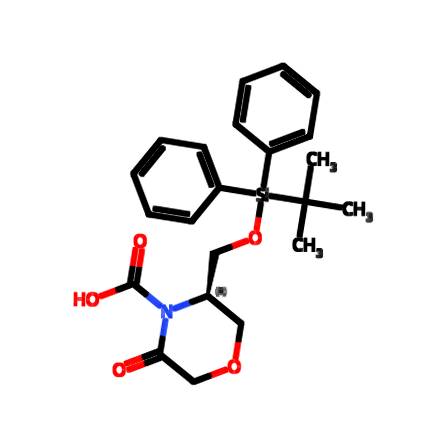 CC(C)(C)[Si](OC[C@H]1COCC(=O)N1C(=O)O)(c1ccccc1)c1ccccc1